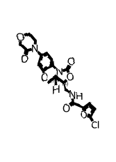 O=C(NC[C@@H]1OC(=O)N2c3ccc(N4CCOCC4=O)cc3OC[C@@H]12)c1ccc(Cl)o1